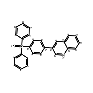 S=P(c1ccccc1)(c1ccccc1)c1ccc(-c2cnc3ccccc3c2)cc1